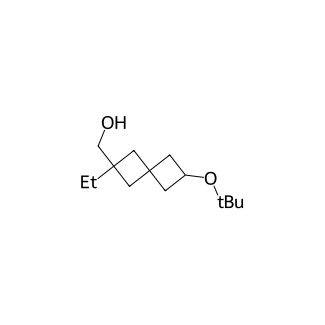 CCC1(CO)CC2(CC(OC(C)(C)C)C2)C1